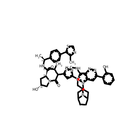 CNc1nn(C2CC3CCC(C2)N3CCOc2cc(C(C(=O)N3C[C@H](O)C[C@H]3C(=O)N[C@@H](C)c3ccc(-c4scnc4C)cc3)C(C)C)on2)c2cc(-c3ccccc3O)nnc12